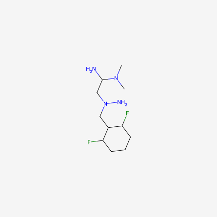 CN(C)C(N)CN(N)CC1C(F)CCCC1F